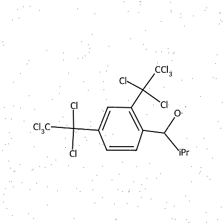 CC(C)C([O])c1ccc(C(Cl)(Cl)C(Cl)(Cl)Cl)cc1C(Cl)(Cl)C(Cl)(Cl)Cl